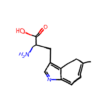 CC1=CC=C2N=CC(CC(N)C(=O)O)=C2C1